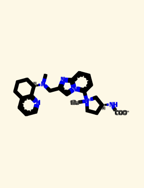 CN(Cc1cn2c([N+]3(C(C)(C)C)CC[C@@H](NC(=O)[O-])C3)cccc2n1)[C@H]1CCCc2cccnc21